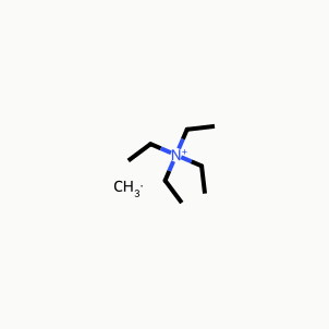 CC[N+](CC)(CC)CC.[CH3]